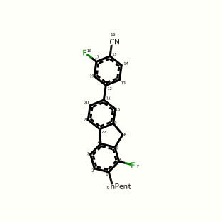 CCCCCc1ccc2c(c1F)Cc1cc(-c3ccc(C#N)c(F)c3)ccc1-2